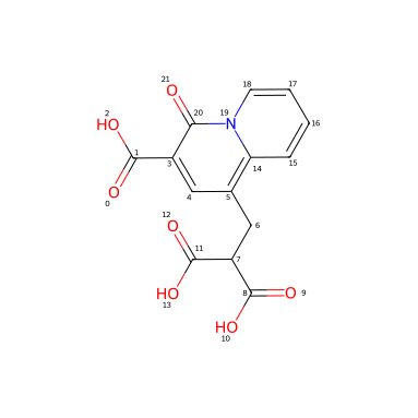 O=C(O)c1cc(CC(C(=O)O)C(=O)O)c2ccccn2c1=O